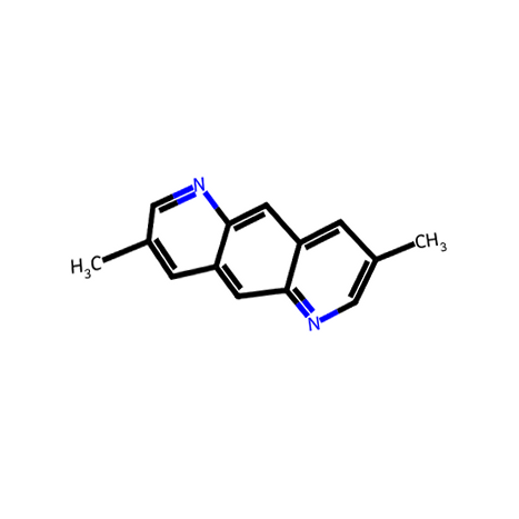 Cc1cnc2cc3cc(C)cnc3cc2c1